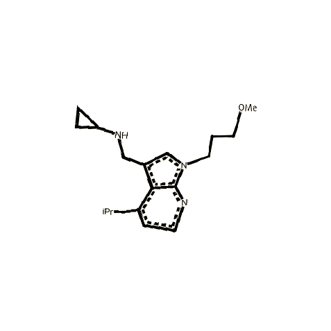 COCCCn1cc(CNC2CC2)c2c(C(C)C)ccnc21